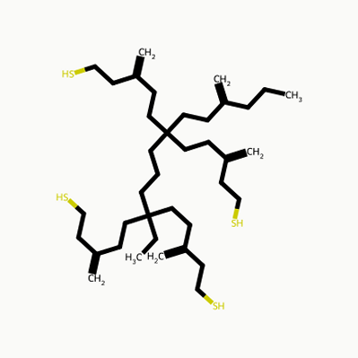 C=C(CCS)CCC(CC)(CCCC(CCC(=C)CCC)(CCC(=C)CCS)CCC(=C)CCS)CCC(=C)CCS